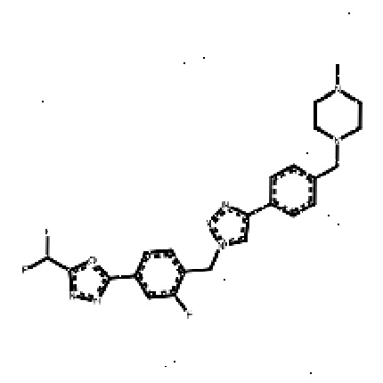 CN1CCN(Cc2ccc(-c3cn(Cc4ccc(-c5nnc(C(F)F)o5)cc4F)nn3)cc2)CC1